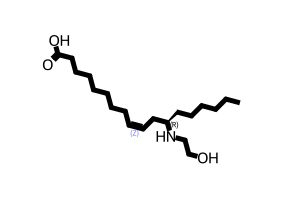 CCCCCC[C@H](C/C=C\CCCCCCCC(=O)O)NCCO